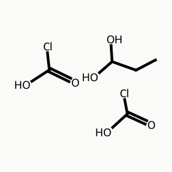 CCC(O)O.O=C(O)Cl.O=C(O)Cl